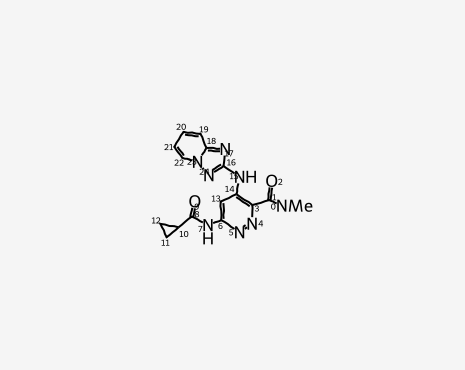 CNC(=O)c1nnc(NC(=O)C2CC2)cc1Nc1nc2ccccn2n1